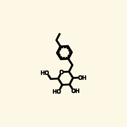 CCc1ccc(CC2OC(CO)C(O)C(O)C2O)cc1